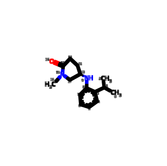 CC(C)c1ccccc1N[C@H]1CCC(=O)N(C)C1